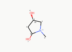 CN1C[C@H](O)CC1O